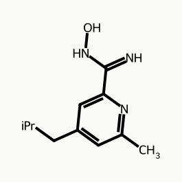 Cc1cc(CC(C)C)cc(C(=N)NO)n1